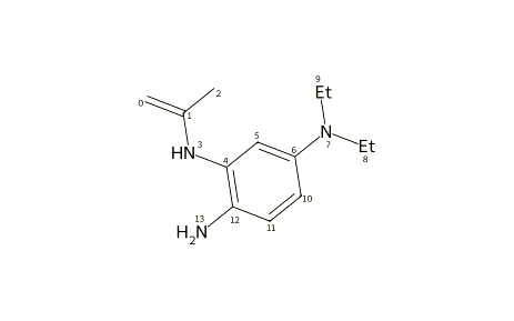 C=C(C)Nc1cc(N(CC)CC)ccc1N